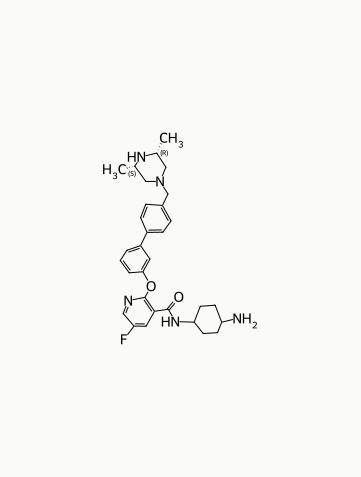 C[C@@H]1CN(Cc2ccc(-c3cccc(Oc4ncc(F)cc4C(=O)NC4CCC(N)CC4)c3)cc2)C[C@H](C)N1